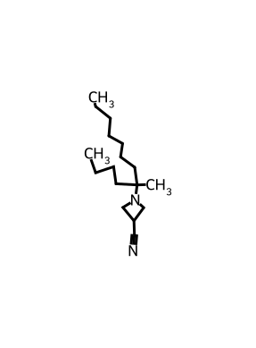 CCCCCCCC(C)(CCCC)N1CC(C#N)C1